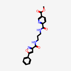 COC(=O)c1ccc(C(=O)NCCCNC(=O)c2cc(-c3ccccc3)on2)nc1